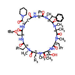 CC(C)C[C@H]1C(=O)N[C@@H](COC(C)(C)C)C(=O)N[C@H](C(=O)N2CCCCC2)CC(=O)N[C@H](C(C)C)C(=O)N(C)[C@@H](Cc2ccccc2)C(=O)N(C)[C@@H](C)C(=O)N(C)[C@@H](CC(C)C)C(=O)N[C@@H]([C@@H](C)O)C(=O)N(C)[C@@H](C)C(=O)N1C